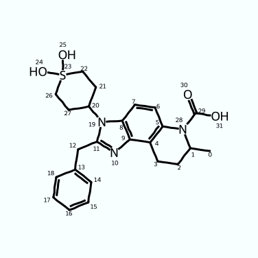 CC1CCc2c(ccc3c2nc(Cc2ccccc2)n3C2CCS(O)(O)CC2)N1C(=O)O